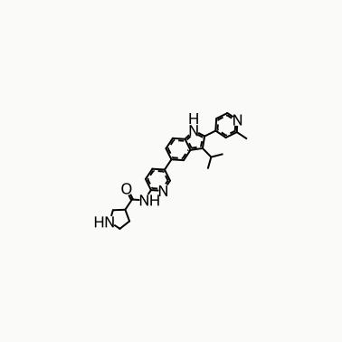 Cc1cc(-c2[nH]c3ccc(-c4ccc(NC(=O)C5CCNC5)nc4)cc3c2C(C)C)ccn1